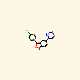 Clc1ccc(-c2onc3ccc(-c4ccncn4)cc23)cc1